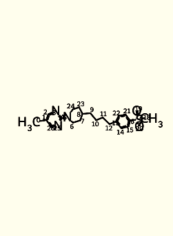 Cc1cnc(N2CCC(CCCCc3ccc(S(C)(=O)=O)cc3)CC2)nc1